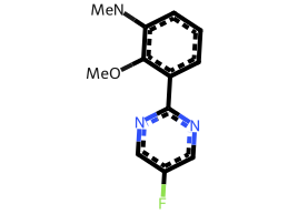 CNc1cccc(-c2ncc(F)cn2)c1OC